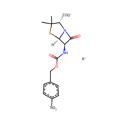 CC1(C)S[C@@H]2[C@H](NC(=O)OCc3ccc([N+](=O)[O-])cc3)C(=O)N2[C@H]1C(=O)[O-].[K+]